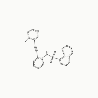 Cc1ccncc1C#Cc1ccccc1NS(=O)(=O)c1cccc2ccccc12